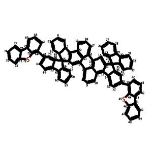 C1=CC2c3c(cc4c5cccc6c7c(cc(c8cccc3c84)c65)C3(c4ccccc4-c4ccccc43)c3cc(-c4cccc5c4sc4ccccc45)ccc3-7)C3(c4ccccc4-c4ccc(-c5cccc6c5sc5ccccc56)cc43)C2C=C1